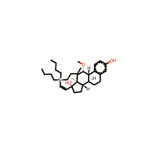 CCC[CH2][Sn](/[CH]=C\[C@]1(O)CC[C@H]2[C@@H]3CCc4cc(O)ccc4[C@H]3[C@@H](OC)C[C@@]21C)([CH2]CCC)[CH2]CCC